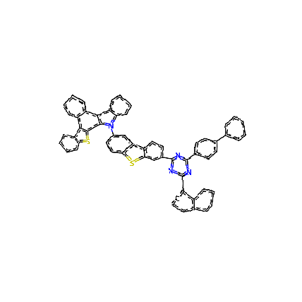 c1ccc(-c2ccc(-c3nc(-c4ccc5c(c4)sc4ccc(-n6c7ccccc7c7c8ccccc8c8c9ccccc9sc8c76)cc45)nc(-c4cccc5ccccc45)n3)cc2)cc1